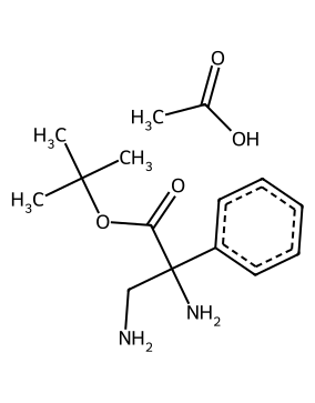 CC(=O)O.CC(C)(C)OC(=O)C(N)(CN)c1ccccc1